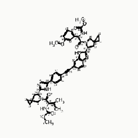 COC(=O)N[C@H](C(=O)N1CC2(CC2)C[C@H]1c1ncc(-c2ccc(C#Cc3ccc4nc([C@@H]5CC6(CC6)CN5C(=O)[C@H](NC(=O)OC)c5cccc(OC)c5)[nH]c4c3)cc2)[nH]1)C(C)C